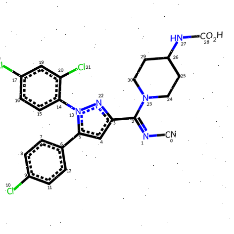 N#CN=C(c1cc(-c2ccc(Cl)cc2)n(-c2ccc(Cl)cc2Cl)n1)N1CCC(NC(=O)O)CC1